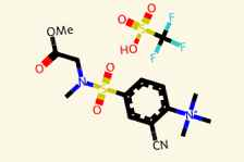 COC(=O)CN(C)S(=O)(=O)c1ccc([N+](C)(C)C)c(C#N)c1.O=S(=O)(O)C(F)(F)F